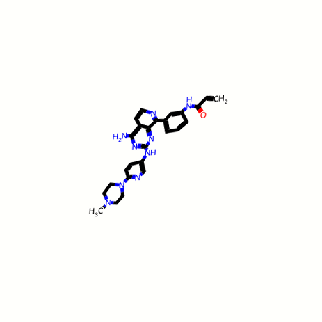 C=CC(=O)Nc1cccc(-c2nccc3c(N)nc(Nc4ccc(N5CCN(C)CC5)nc4)nc23)c1